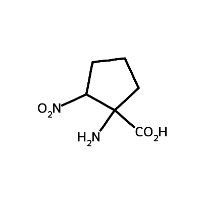 NC1(C(=O)O)CCCC1[N+](=O)[O-]